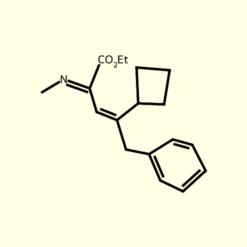 CCOC(=O)C(/C=C(/Cc1ccccc1)C1CCC1)=N/C